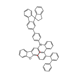 c1ccc(-c2ccccc2-c2ccccc2-c2ccccc2N(c2ccc(-c3ccc4c(c3)C3(CCc5ccccc53)c3ccccc3-4)cc2)c2ccc3oc4ccccc4c3c2)cc1